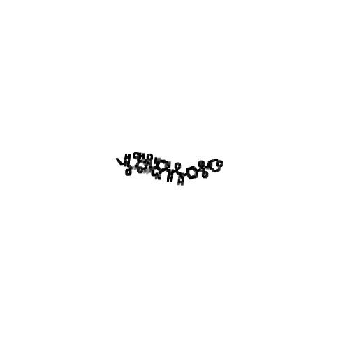 CCNC(=O)[C@H]1O[C@@H](n2cnc3c(NC(=O)Nc4ccc(S(=O)(=O)N5CCOCC5)cc4)ncnc32)[C@H](O)[C@@H]1O